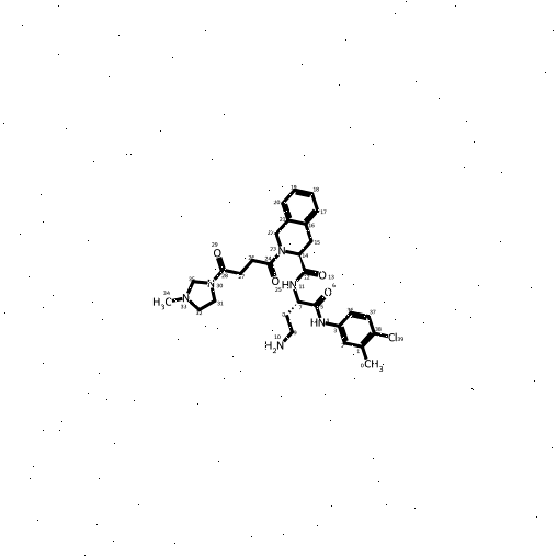 Cc1cc(NC(=O)[C@H](CCN)NC(=O)[C@@H]2Cc3ccccc3CN2C(=O)CCC(=O)N2CCN(C)C2)ccc1Cl